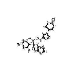 C[C@@H](OCc1cc(-c2ccc(Cl)cc2)no1)[C@](O)(Cn1cncn1)c1ccc(F)cc1F